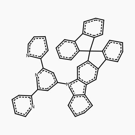 c1ccc(-c2cc(-n3c4ccccc4c4cc5c(cc43)C3(c4ccccc4-c4ccccc43)c3ccccc3-5)cc(-c3ccccn3)n2)nc1